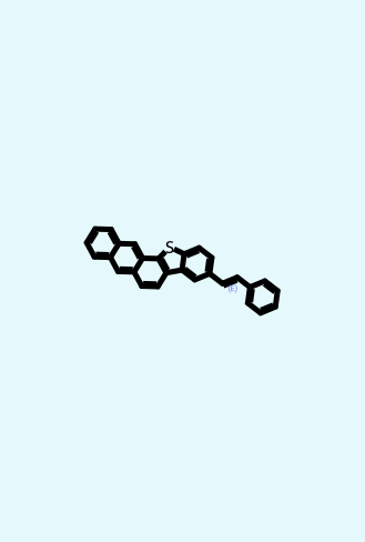 C(=C\c1ccc2sc3c4cc5ccccc5cc4ccc3c2c1)/c1ccccc1